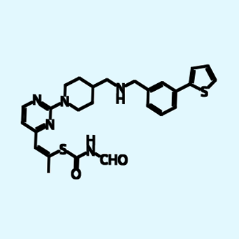 C/C(=C/c1ccnc(N2CCC(CNCc3cccc(-c4cccs4)c3)CC2)n1)SC(=O)NC=O